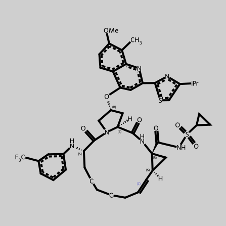 COc1ccc2c(O[C@@H]3C[C@H]4C(=O)N[C@]5(C(=O)NS(=O)(=O)C6CC6)C[C@H]5/C=C\CCCCC[C@H](Nc5cccc(C(F)(F)F)c5)C(=O)N4C3)cc(-c3nc(C(C)C)cs3)nc2c1C